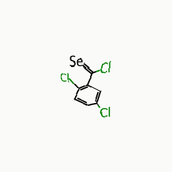 ClC(=[Se])c1cc(Cl)ccc1Cl